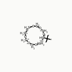 CC(C)(C)[SiH]1O[SiH2]O[SiH2]O[SiH2]O[SiH2]O[SiH2]O[SiH2]O[SiH2]O1